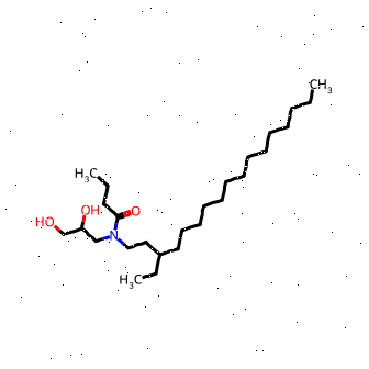 CCCCCCCCCCCCCCC(CC)CCN(CC(O)CO)C(=O)CCC